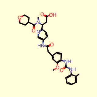 COc1cc(CC(=O)Nc2ccc(C(CC(=O)O)N(C)C(=O)C3CCOCC3)nc2)ccc1NC(=O)Nc1ccccc1C